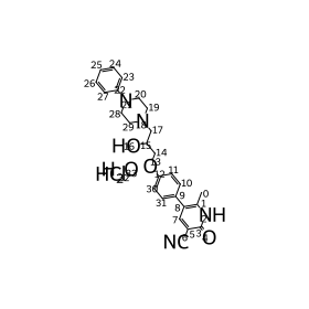 Cc1[nH]c(=O)c(C#N)cc1-c1ccc(OCC(O)CN2CCN(c3ccccc3)CC2)cc1.Cl.O